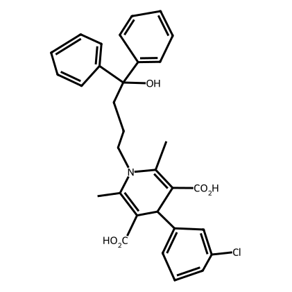 CC1=C(C(=O)O)C(c2cccc(Cl)c2)C(C(=O)O)=C(C)N1CCCC(O)(c1ccccc1)c1ccccc1